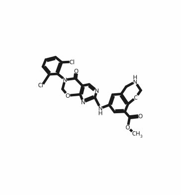 COC(=O)c1cc(Nc2ncc3c(n2)OCN(c2c(Cl)cccc2Cl)C3=O)cc2c1CCNC2